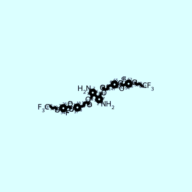 Nc1ccc(-c2ccc(N)cc2COC(=O)C=Cc2ccc(OC(=O)c3ccc(OCCCC(F)(F)F)cc3F)cc2)c(COC(=O)C=Cc2ccc(OC(=O)c3ccc(OCCCC(F)(F)F)cc3F)cc2)c1